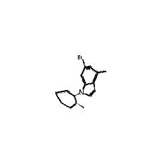 Cc1cc(Br)cc2c1ccn2[C@@H]1CCCC[C@@H]1C